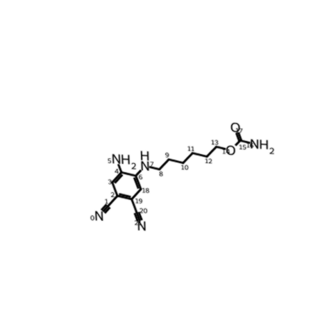 N#Cc1cc(N)c(NCCCCCCOC(N)=O)cc1C#N